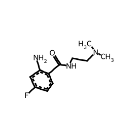 CN(C)CCNC(=O)c1ccc(F)cc1N